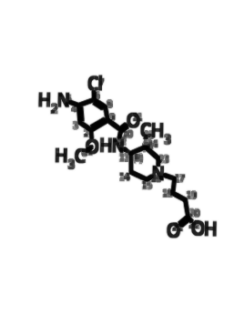 COc1cc(N)c(Cl)cc1C(=O)N[C@@H]1CCN(CCCC(=O)O)C[C@H]1C